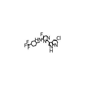 Fc1cnc(-c2c[nH]c3ncc(Cl)cc23)nc1NCC1CCC(C(F)(F)F)CC1